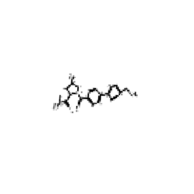 CCc1ccc(-c2ccc(C(=O)N3CC(O)CC3C(=O)NO)cc2)cc1